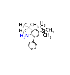 CC(C)(C)c1cc([Si](C)(C)C)cc(-c2ccccc2)c1N